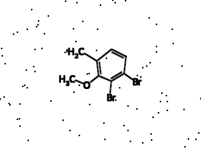 [CH2]c1ccc(Br)c(Br)c1OC